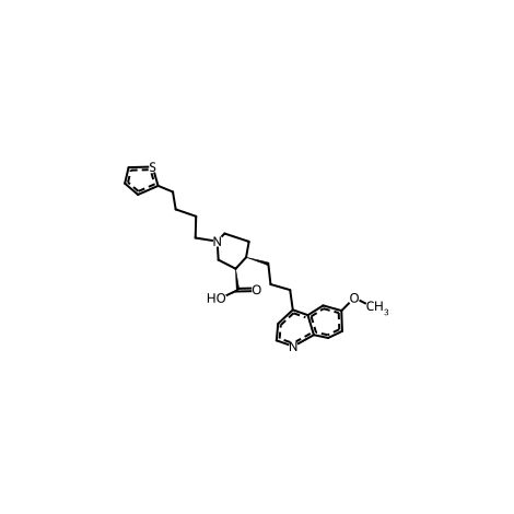 COc1ccc2nccc(CCC[C@@H]3CCN(CCCCc4cccs4)C[C@@H]3C(=O)O)c2c1